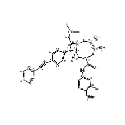 COc1ccc(NC(=O)N2C[C@@H](O)[C@@H](O)CN3[C@H](CN(C)C)[C@H](c4ccc(C#Cc5ccccc5)cc4)[C@@H]3C2)cc1C